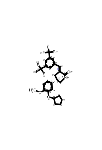 COc1ccc([C@H]2CNC(=O)/C(=C/c3cc(C(F)(F)F)cc(C(F)(F)F)c3)C2)cc1OC1CCCC1